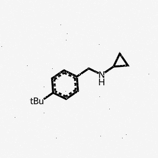 CC(C)(C)c1ccc(CNC2CC2)cc1